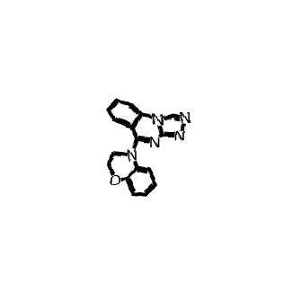 c1ccc2c(c1)OCCN2c1nc2nncn2c2ccccc12